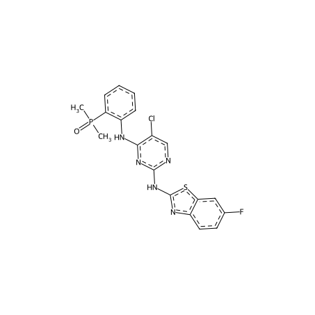 CP(C)(=O)c1ccccc1Nc1nc(Nc2nc3ccc(F)cc3s2)ncc1Cl